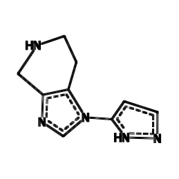 c1cc(-n2cnc3c2CCNC3)[nH]n1